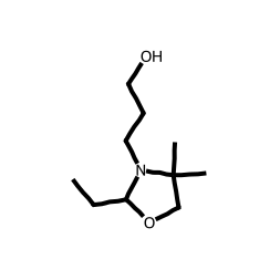 CCC1OCC(C)(C)N1CCCO